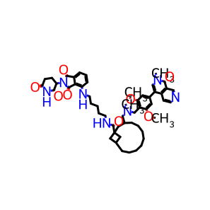 COc1cc(-c2cn(C)c(=O)c3cnccc23)cc(OC)c1CN(C)CC1CCCCCCCCC2CC(C(=O)NCCCCCNc3cccc4c3C(=O)N(C3CCC(=O)NC3=O)C4=O)(C1)C2